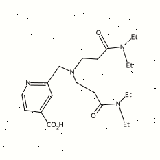 CCN(CC)C(=O)CCN(CCC(=O)N(CC)CC)Cc1cc(C(=O)O)ccn1